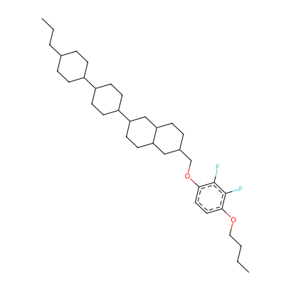 CCCCOc1ccc(OCC2CCC3CC(C4CCC(C5CCC(CCC)CC5)CC4)CCC3C2)c(F)c1F